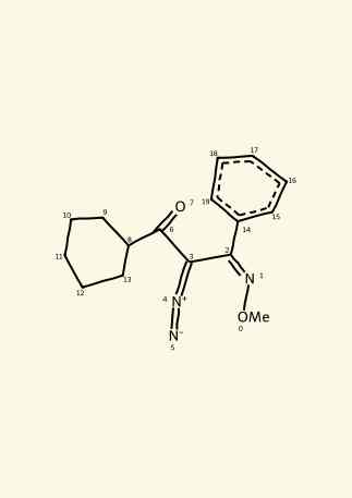 CO/N=C(\C(=[N+]=[N-])C(=O)C1CCCCC1)c1ccccc1